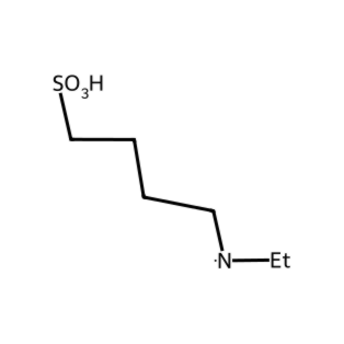 CC[N]CCCCS(=O)(=O)O